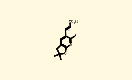 CCOC(=O)/C=C/c1cc2c(nc1F)OC(C)(C)C2